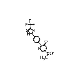 C[S+]([O-])c1cnn(-c2ccc(-c3noc(C(F)(F)F)n3)cc2)c(=O)c1